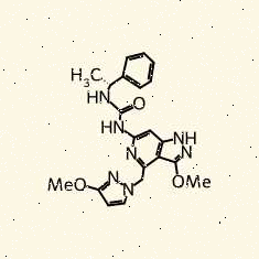 COc1ccn(Cc2nc(NC(=O)N[C@H](C)c3ccccc3)cc3[nH]nc(OC)c23)n1